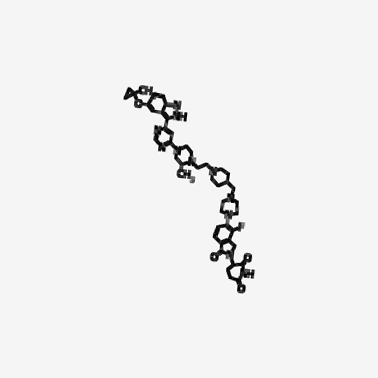 C[C@H]1CN(c2cc(-c3[nH]nc4ccc(OC5(C)CC5)cc34)ncn2)CCN1CCN1CCC(CN2CCN(c3ccc4c(c3F)CN(C3CCC(=O)NC3=O)C4=O)CC2)CC1